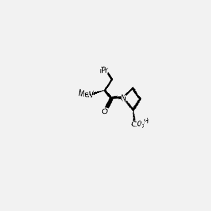 CN[C@@H](CC(C)C)C(=O)N1CC[C@H]1C(=O)O